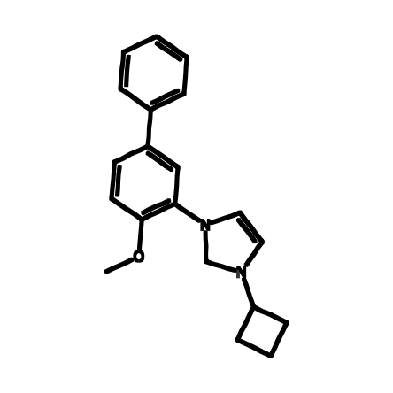 COc1ccc(-c2ccccc2)cc1N1C=CN(C2CCC2)C1